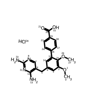 COc1cc(Cc2cnc(N)nc2N)cc(-c2ccc(C(=O)O)cc2)c1OC.Cl